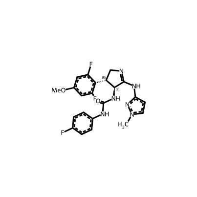 COc1cc(F)c([C@@H]2CN=C(Nc3ccn(C)n3)[C@H]2NC(=O)Nc2ccc(F)cc2)c(F)c1